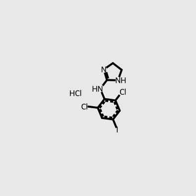 Cl.Clc1cc(I)cc(Cl)c1NC1=NCCN1